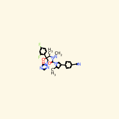 C=NN(C(=O)n1cc(-c2ccc(C#N)cc2)cc1C)[C@H](C)C(O)(Cn1cncn1)c1ccc(F)cc1F